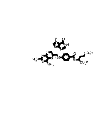 Nc1nc(N)c2nc(CNc3ccc(C(=O)NC(CCC(=O)O)C(=O)O)cc3)cnc2n1.O=c1[nH]cnc2nc[nH]c12